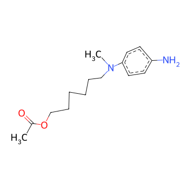 CC(=O)OCCCCCCN(C)c1ccc(N)cc1